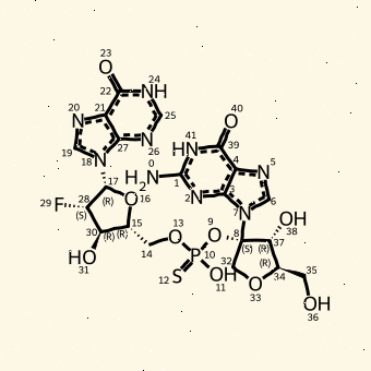 Nc1nc2c(ncn2[C@]2(OP(O)(=S)OC[C@H]3O[C@@H](n4cnc5c(=O)[nH]cnc54)[C@@H](F)[C@@H]3O)CO[C@H](CO)[C@H]2O)c(=O)[nH]1